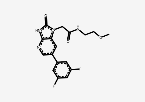 COCCNC(=O)Cn1c(=O)[nH]c2ncc(-c3cc(F)cc(F)c3)cc21